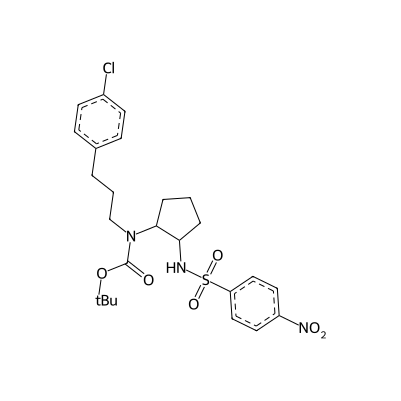 CC(C)(C)OC(=O)N(CCCc1ccc(Cl)cc1)C1CCCC1NS(=O)(=O)c1ccc([N+](=O)[O-])cc1